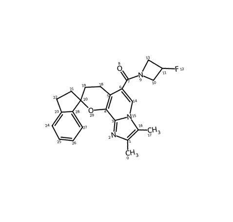 Cc1nc2c3c(c(C(=O)N4CC(F)C4)cn2c1C)CCC1(CCc2ccccc21)O3